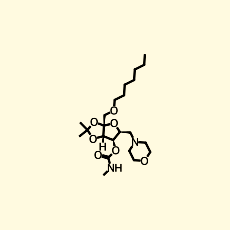 CCCCCCCOC[C@@]12O[C@@H](CN3CCOCC3)[C@@H](OC(=O)NC)[C@@H]1OC(C)(C)O2